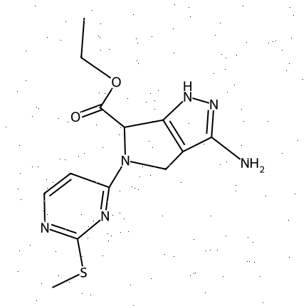 CCOC(=O)C1c2[nH]nc(N)c2CN1c1ccnc(SC)n1